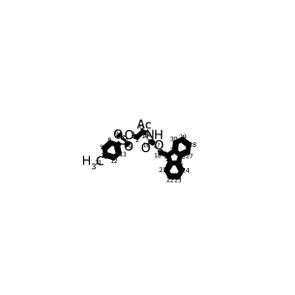 CC(=O)[C@H](COS(=O)(=O)c1ccc(C)cc1)NC(=O)OCC1c2ccccc2-c2ccccc21